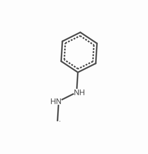 [CH2]NNc1ccccc1